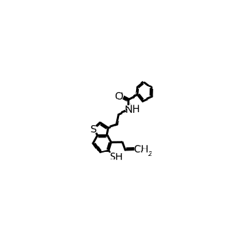 C=CCc1c(S)ccc2scc(CCNC(=O)c3ccccc3)c12